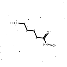 O=C(O)CCCCC(=O)NCl